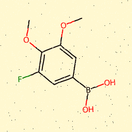 COc1cc(B(O)O)cc(F)c1OC